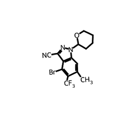 Cc1cc2c(c(C#N)nn2C2CCCCO2)c(Br)c1C(F)(F)F